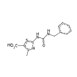 Cc1nc(NC(=O)NCc2ccccc2)sc1C(=O)O